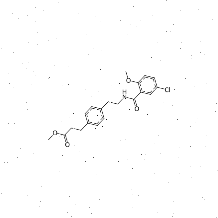 COC(=O)CCc1ccc(CCNC(=O)c2cc(Cl)ccc2OC)cc1